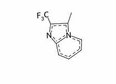 Cc1c(C(F)(F)F)nc2ccccn12